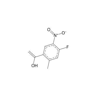 C=C(O)c1cc([N+](=O)[O-])c(F)cc1C